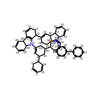 C1=CCC(C2C=C(N3C4=C(C=CCC4C4=CC5C6C=CC=CC6N(c6cccc(-c7ccccc7)c6)C5CC4)C4C=CC=CC43)CC(C3CC=CCC3)C2)C=C1